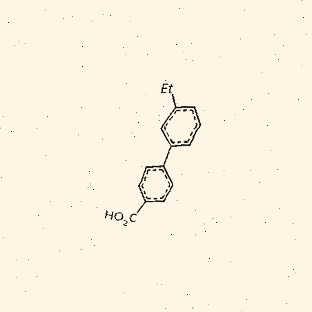 CCc1cccc(-c2ccc(C(=O)O)cc2)c1